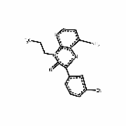 N#Cc1cccc(-c2nc3c(N)ccnc3n(CCC(F)(F)F)c2=O)c1